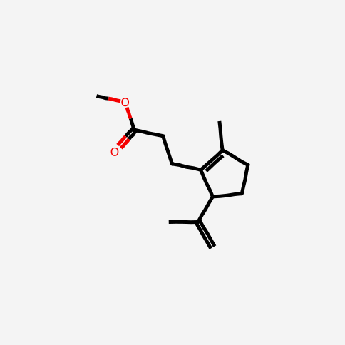 C=C(C)C1CCC(C)=C1CCC(=O)OC